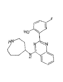 Oc1ccc(F)cc1-c1nc(NC2CCCNCC2)c2ccccc2n1